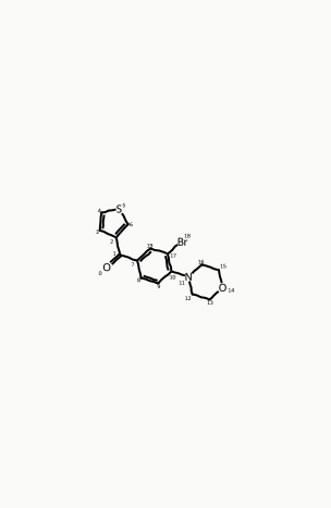 O=C(c1ccsc1)c1ccc(N2CCOCC2)c(Br)c1